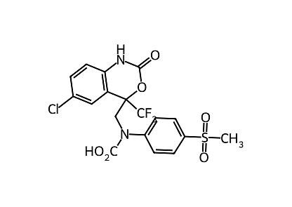 CS(=O)(=O)c1ccc(N(CC2(C(F)(F)F)OC(=O)Nc3ccc(Cl)cc32)C(=O)O)cc1